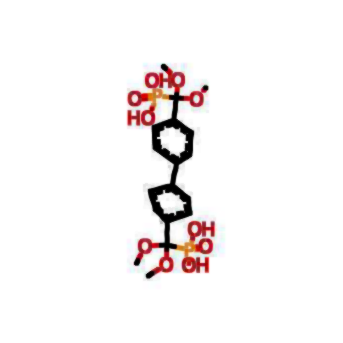 COC(OC)(c1ccc(-c2ccc(C(OC)(OC)P(=O)(O)O)cc2)cc1)P(=O)(O)O